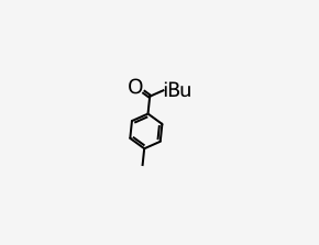 CCC(C)C(=O)c1ccc(C)cc1